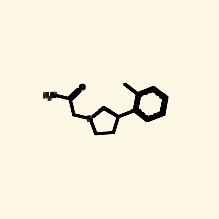 Cc1ccccc1C1CCN(CC(N)=O)C1